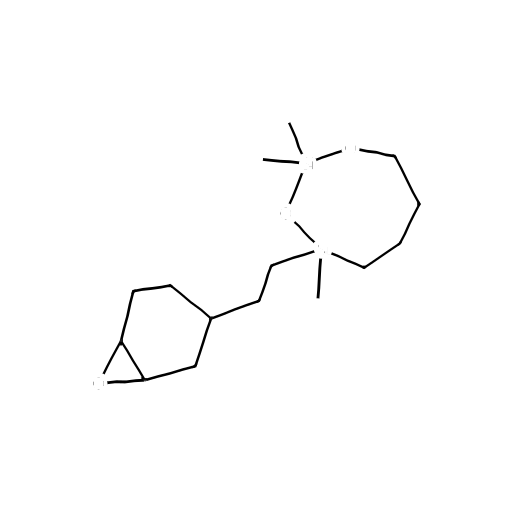 C[Si]1(CCC2CCC3OC3C2)CCCCO[Si](C)(C)O1